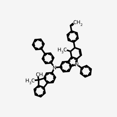 C=Cc1ccc(C2C=Cc3c(c4cc(N(c5ccc(-c6ccccc6)cc5)c5ccc6c(c5)C(C)(C)c5ccccc5-6)ccc4n3-c3ccccc3)C2C)cc1